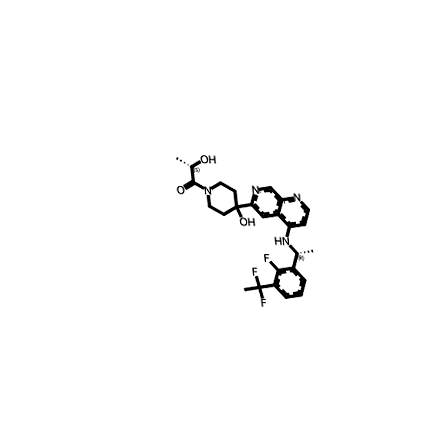 C[C@H](O)C(=O)N1CCC(O)(c2cc3c(N[C@H](C)c4cccc(C(C)(F)F)c4F)ccnc3cn2)CC1